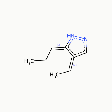 C/C=c1/cn[nH]/c1=C/CC